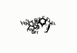 CC#CC(CC)Oc1ccc(S(=O)(=O)N2CCNC(C)C2C(=O)NO)cc1